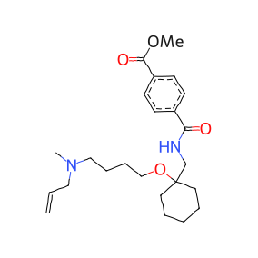 C=CCN(C)CCCCOC1(CNC(=O)c2ccc(C(=O)OC)cc2)CCCCC1